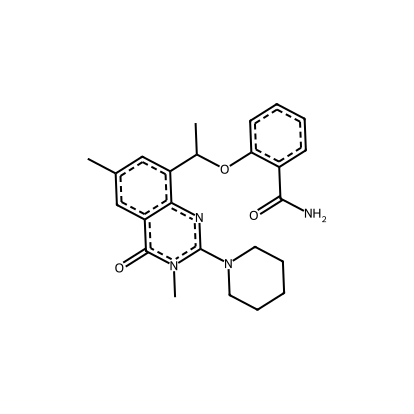 Cc1cc(C(C)Oc2ccccc2C(N)=O)c2nc(N3CCCCC3)n(C)c(=O)c2c1